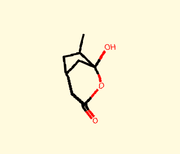 CC1CC2CC(=O)OC1(O)C2